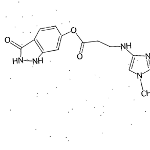 Cn1cnc(NCCC(=O)Oc2ccc3c(=O)[nH][nH]c3c2)c1